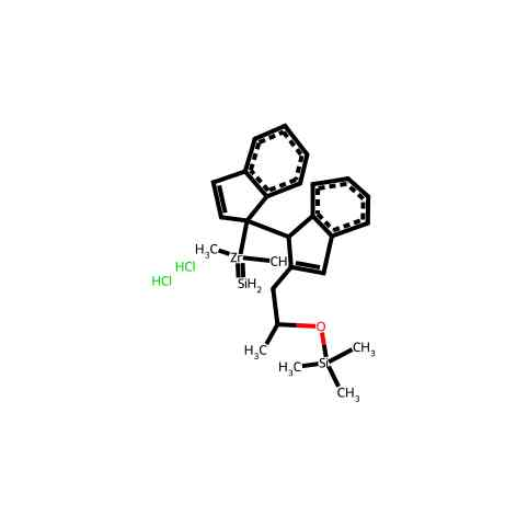 CC(CC1=Cc2ccccc2C1[C]1([Zr]([CH3])([CH3])=[SiH2])C=Cc2ccccc21)O[Si](C)(C)C.Cl.Cl